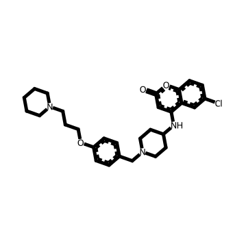 O=c1cc(NC2CCN(Cc3ccc(OCCCN4CCCCC4)cc3)CC2)c2cc(Cl)ccc2o1